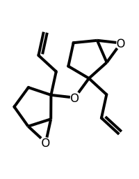 C=CCC1(OC2(CC=C)CCC3OC32)CCC2OC21